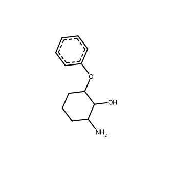 NC1CCCC(Oc2ccccc2)C1O